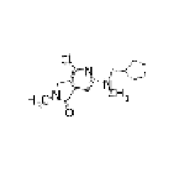 CN1Cc2c(cc(N(C)CC3CCCC3)nc2Cl)C1=O